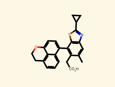 Cc1cc2nc(C3CC3)sc2c(-c2ccc3c4c(cccc24)CCO3)c1CC(=O)O